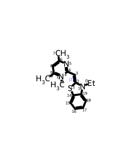 CCN1/C(=C/c2nc(C)cc(C)[n+]2C)Sc2ccccc21